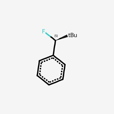 CC(C)(C)[C@H](F)c1ccccc1